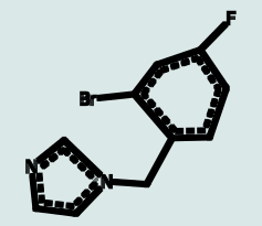 Fc1ccc(Cn2ccnc2)c(Br)c1